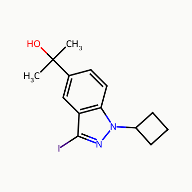 CC(C)(O)c1ccc2c(c1)c(I)nn2C1CCC1